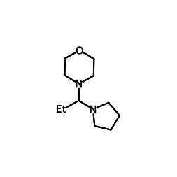 CCC(N1CCCC1)N1CCOCC1